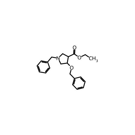 CCOC(=O)C1CN(Cc2ccccc2)CC1OCc1ccccc1